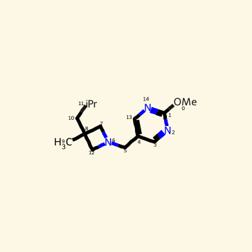 COc1ncc(CN2CC(C)(CC(C)C)C2)cn1